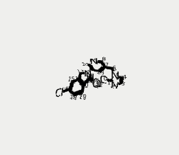 Cc1nccn1Cc1cncc(N2Cc3cc(Cl)ccc3C2=O)c1